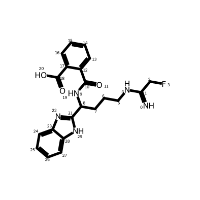 N=C(CF)NCCCC(NC(=O)c1ccccc1C(=O)O)c1nc2ccccc2[nH]1